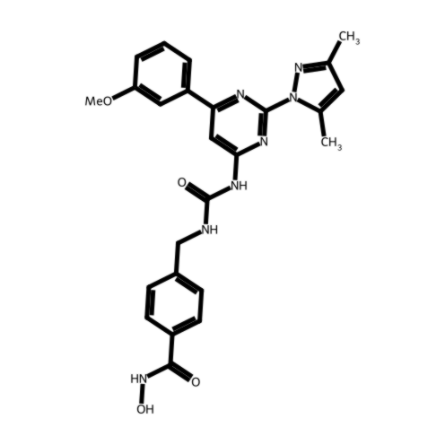 COc1cccc(-c2cc(NC(=O)NCc3ccc(C(=O)NO)cc3)nc(-n3nc(C)cc3C)n2)c1